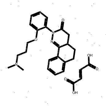 CN(C)CCCOc1ccccc1N1N=C2c3ccccc3CCC2CC1=O.O=C(O)C=CC(=O)O